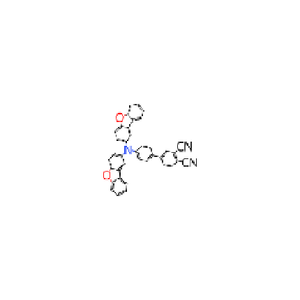 N#Cc1ccc(-c2ccc(N(c3ccc4oc5ccccc5c4c3)c3ccc4oc5ccccc5c4c3)cc2)cc1C#N